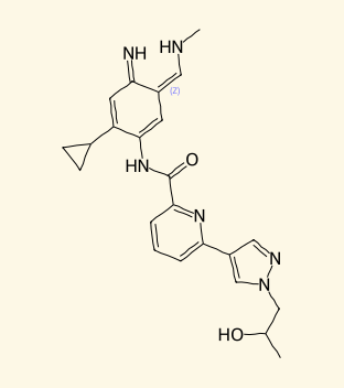 CN/C=C1/C=C(NC(=O)c2cccc(-c3cnn(CC(C)O)c3)n2)C(C2CC2)=CC1=N